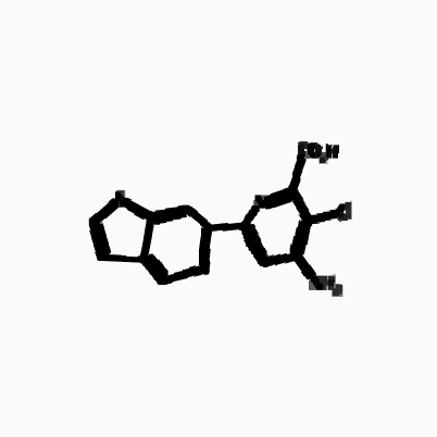 Nc1cc(-c2ccc3ccsc3c2)nc(C(=O)O)c1Cl